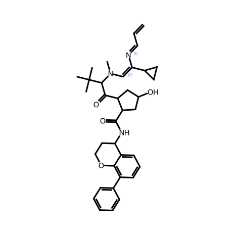 C=C/C=N/C(=C\N(C)C(C(=O)C1CC(O)CC1C(=O)NC1CCOc2c(-c3ccccc3)cccc21)C(C)(C)C)C1CC1